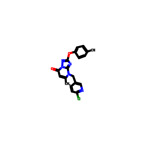 Cc1cc(=O)n2nc(Oc3ccc(C#N)cc3)nc2n1Cc1ccc(Cl)nc1